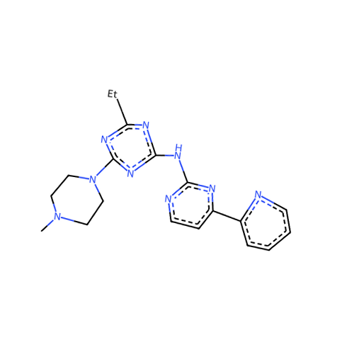 CCc1nc(Nc2nccc(-c3ccccn3)n2)nc(N2CCN(C)CC2)n1